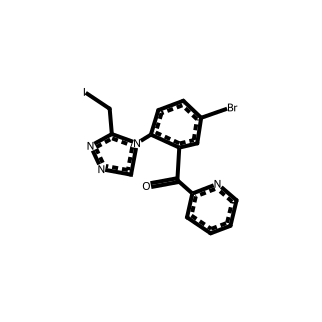 O=C(c1ccccn1)c1cc(Br)ccc1-n1cnnc1CI